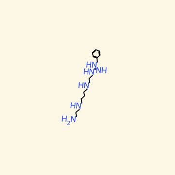 N=C(NCCCNCCCCCNCCCN)NCc1ccccc1